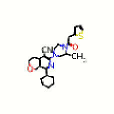 CC1CN(c2nc(C3CCCCC3)c3c(c2C#N)CCOC3)CCN1C(=O)Cc1cccs1